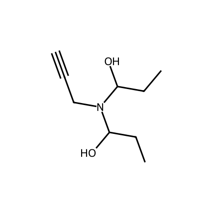 C#CCN(C(O)CC)C(O)CC